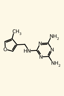 Cc1cocc1CNc1nc(N)nc(N)n1